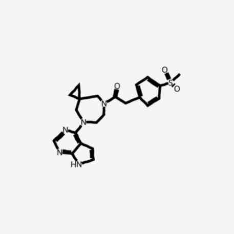 CS(=O)(=O)c1ccc(CC(=O)N2CCN(c3ncnc4[nH]ccc34)CC3(CC3)C2)cc1